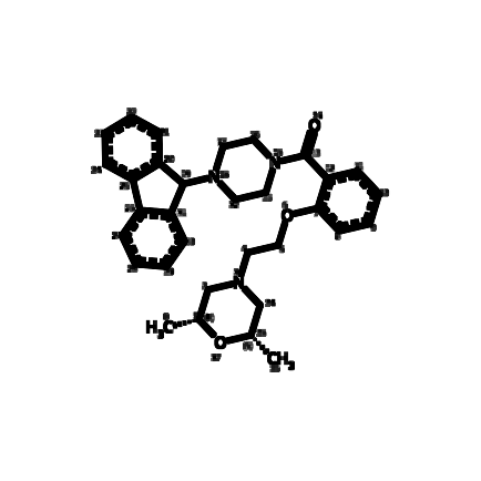 C[C@@H]1CN(CCOc2ccccc2C(=O)N2CCN(C3c4ccccc4-c4ccccc43)CC2)C[C@H](C)O1